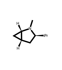 CC(C)[C@H]1C[C@@H]2C[C@@H]2N1C